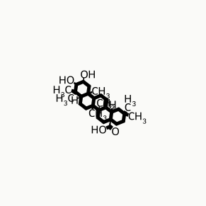 CC1(C)CC[C@]2(C(=O)O)CC[C@]3(C)C(=CCC4[C@@]5(C)C[C@@H](O)[C@H](O)C(C)(C)[C@@H]5CC[C@]43C)[C@@H]2C1